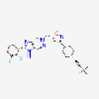 CC(C)(C)C#Cc1ccc(-c2cc(CN3Cc4nc(-c5cccc(F)c5F)[nH]c4C=N3)on2)cc1